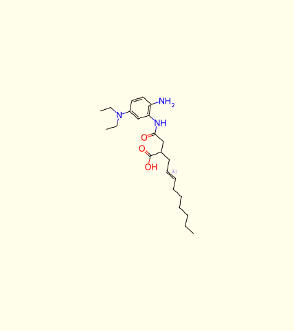 CCCCCC/C=C/CC(CC(=O)Nc1cc(N(CC)CC)ccc1N)C(=O)O